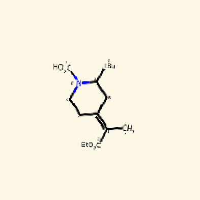 CCOC(=O)C(C)=C1CCN(C(=O)O)C(C(C)(C)C)C1